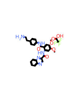 COc1cc(NC(=O)c2cnc3ccccc3n2)c(C(=O)Nc2ccc(CCN)cc2)cc1OC.O=C(O)C(F)(F)F